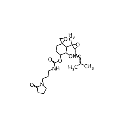 COC1C(OC(=O)NCCCN2CCCC2=O)CCC2(CO2)C1C1(C)OC1CC=C(C)C